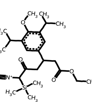 CCOC(=O)CC(CC(=O)C([N+]#N)[Si](C)(C)C)c1cc(C(C)C)c(OC)c(C(C)C)c1